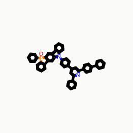 O=P1(c2ccccc2)c2ccccc2-c2cc3c(cc21)c1ccccc1n3-c1ccc(-c2cc(-c3ccccc3)nc(-c3ccc(-c4ccccc4)cc3)c2)cc1